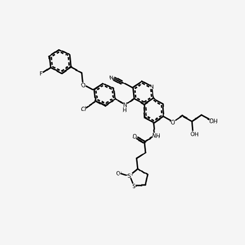 N#Cc1cnc2cc(OCC(O)CO)c(NC(=O)CCC3CCS[S+]3[O-])cc2c1Nc1ccc(OCc2cccc(F)c2)c(Cl)c1